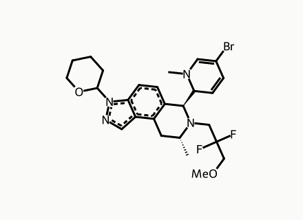 COCC(F)(F)CN1[C@H](C)Cc2c(ccc3c2cnn3C2CCCCO2)[C@H]1C1C=CC(Br)=CN1C